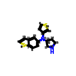 c1cc(N(c2ccc3sccc3c2)[C@H]2CCNC2)cs1